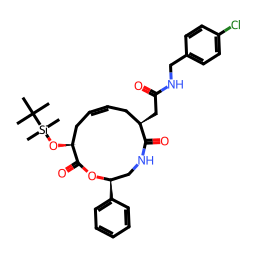 CC(C)(C)[Si](C)(C)O[C@H]1CC=CC[C@@H](CC(=O)NCc2ccc(Cl)cc2)C(=O)NC[C@@H](c2ccccc2)OC1=O